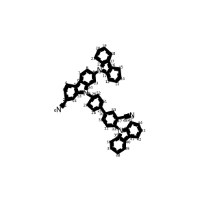 N#Cc1ccc2c3ccc(-n4c5ccccc5c5ccccc54)cc3n(-c3ccc(-c4ccc(-n5c6ccccc6c6ccccc65)c(C#N)c4)cc3)c2c1